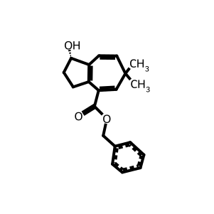 CC1(C)C=CC2=C(CC[C@@H]2O)C(C(=O)OCc2ccccc2)=C1